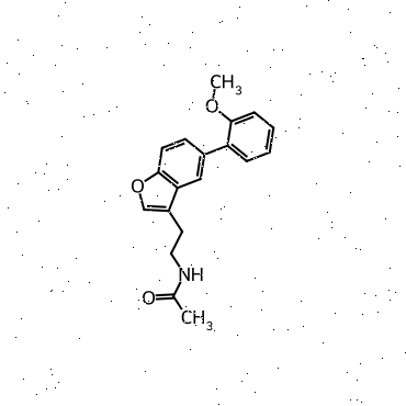 COc1ccccc1-c1ccc2occ(CCNC(C)=O)c2c1